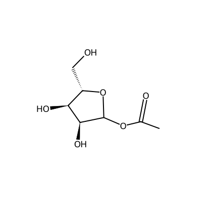 CC(=O)OC1O[C@@H](CO)[C@H](O)[C@@H]1O